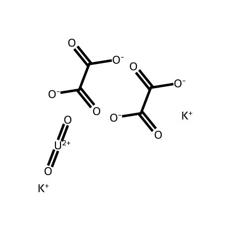 O=C([O-])C(=O)[O-].O=C([O-])C(=O)[O-].[K+].[K+].[O]=[U+2]=[O]